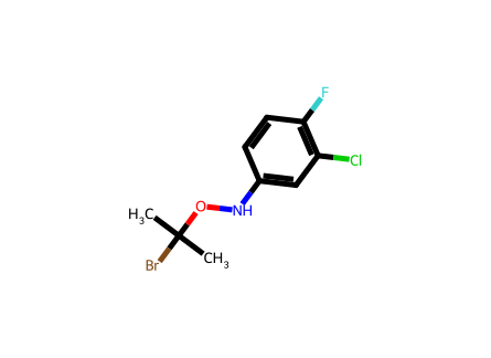 CC(C)(Br)ONc1ccc(F)c(Cl)c1